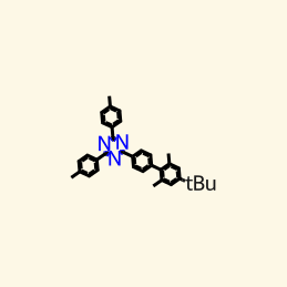 Cc1ccc(-c2nc(-c3ccc(C)cc3)nc(-c3ccc(-c4c(C)cc(C(C)(C)C)cc4C)cc3)n2)cc1